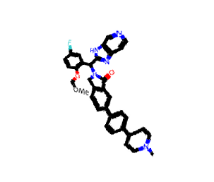 COCOc1ccc(F)cc1C(c1nc2ccncc2[nH]1)N1Cc2ccc(-c3ccc(C4CCN(C)CC4)cc3)cc2C1=O